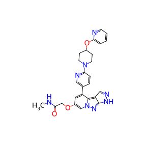 CNC(=O)COc1cc(-c2ccc(N3CCC(Oc4ccccn4)CC3)nc2)c2c3cn[nH]c3nn2c1